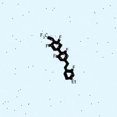 CCc1ccc(CCc2cc(F)c(-c3cc(F)c(/C=C/C(F)(F)F)c(F)c3)c(F)c2)c(F)c1